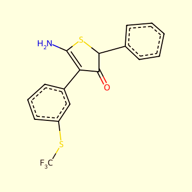 NC1=C(c2cccc(SC(F)(F)F)c2)C(=O)C(c2ccccc2)S1